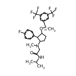 CC(C)NC(=O)CN(C)C1CCC(O[C@@H](C)c2cc(C(F)(F)F)cc(C(F)(F)F)c2)C1c1ccc(F)cc1